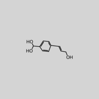 OC/C=C/c1ccc(C(O)O)cc1